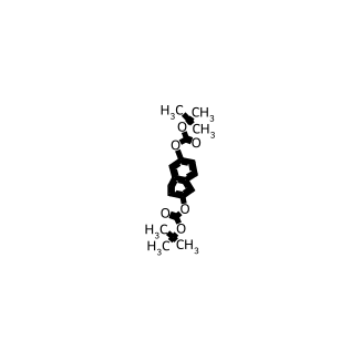 CC(C)(C)OC(=O)Oc1ccc2cc(OC(=O)OC(C)(C)C)ccc2c1